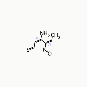 C/C=C(N=O)\C(N)=C/C=S